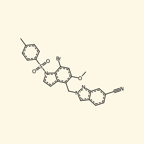 COc1cc(Br)c2c(ccn2S(=O)(=O)c2ccc(C)cc2)c1Cn1cc2ccc(C#N)cc2n1